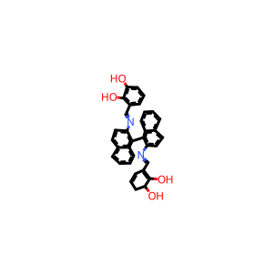 OC1=C(/C=N/c2ccc3ccccc3c2-c2c(/N=C/c3cccc(O)c3O)ccc3ccccc23)C=CCC1O